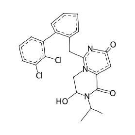 CC(C)N1C(=O)c2cc(=O)nc(Cc3ccccc3-c3cccc(Cl)c3Cl)n2CC1O